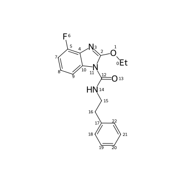 CCOc1nc2c(F)cccc2n1C(=O)NCCc1ccccc1